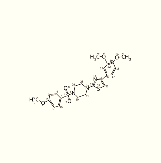 COc1ccc(S(=O)(=O)N2CCN(c3nc(-c4ccc(OC)c(OC)c4)cs3)CC2)cc1